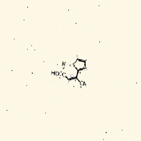 N#C/C(=C/C(=O)O)c1cccs1.[K]